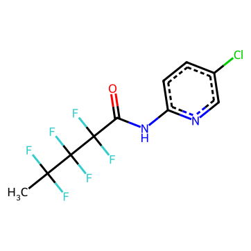 CC(F)(F)C(F)(F)C(F)(F)C(=O)Nc1ccc(Cl)cn1